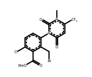 COC(=O)c1c(Cl)ccc(-n2c(=O)cc(C(F)(F)F)n(C)c2=O)c1CBr